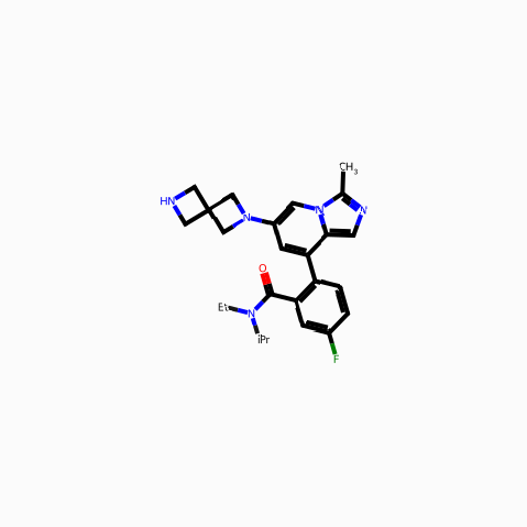 CCN(C(=O)c1cc(F)ccc1-c1cc(N2CC3(CNC3)C2)cn2c(C)ncc12)C(C)C